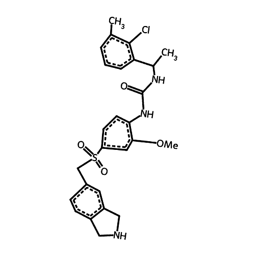 COc1cc(S(=O)(=O)Cc2ccc3c(c2)CNC3)ccc1NC(=O)NC(C)c1cccc(C)c1Cl